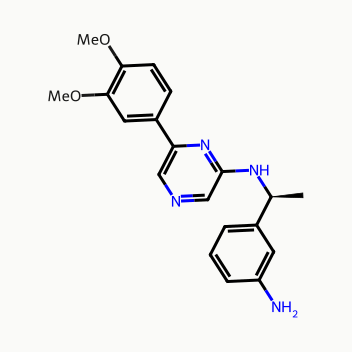 COc1ccc(-c2cncc(N[C@@H](C)c3cccc(N)c3)n2)cc1OC